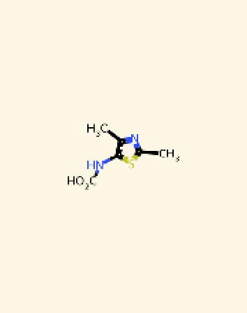 Cc1nc(C)c(NC(=O)O)s1